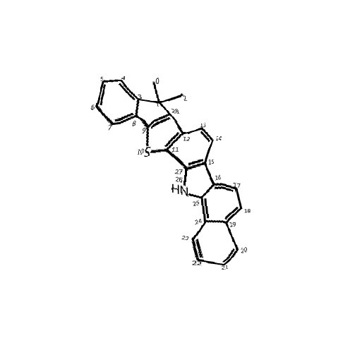 CC1(C)c2ccccc2-c2sc3c(ccc4c5ccc6ccccc6c5[nH]c43)c21